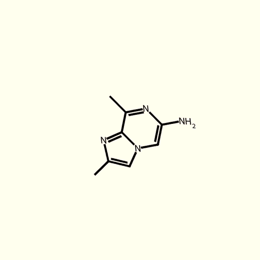 Cc1cn2cc(N)nc(C)c2n1